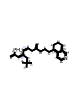 C=C(P)/C=C(\C=C/CC(=C)CCCC1=c2ccncc2=CCC1)CC(C)(C)C